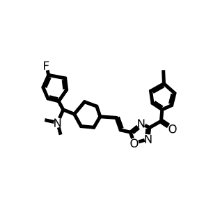 Cc1ccc(C(=O)c2noc(C=CC3CCC(C(c4ccc(F)cc4)N(C)C)CC3)n2)cc1